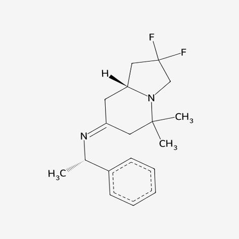 C[C@H](/N=C1/C[C@@H]2CC(F)(F)CN2C(C)(C)C1)c1ccccc1